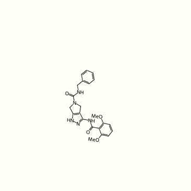 COc1cccc(OC)c1C(=O)Nc1n[nH]c2c1CN(C(=O)NCc1ccccc1)C2